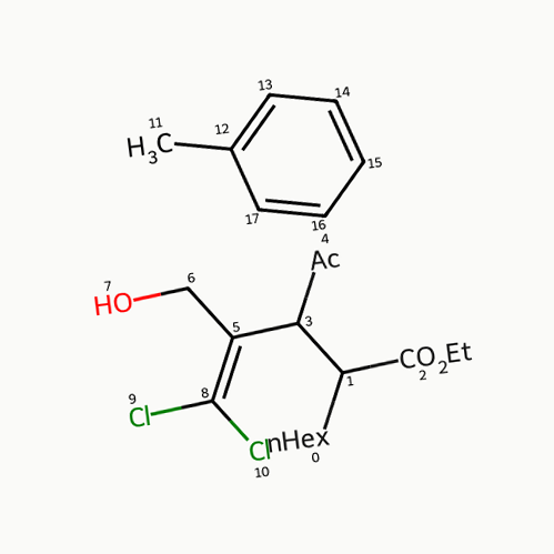 CCCCCCC(C(=O)OCC)C(C(C)=O)C(CO)=C(Cl)Cl.Cc1ccccc1